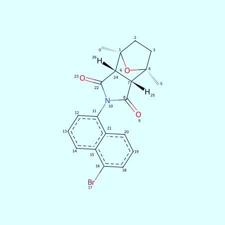 C[C@]12CC[C@](C)(O1)[C@@H]1C(=O)N(c3cccc4c(Br)cccc34)C(=O)[C@@H]12